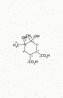 CC1(O)CC(C(=O)O)C(C(=O)O)CC1(C)O